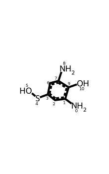 Nc1cc(SO)cc(N)c1O